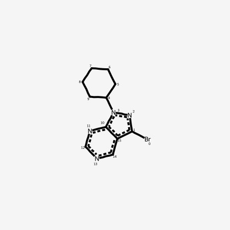 Brc1nn(C2CCCCC2)c2ncncc12